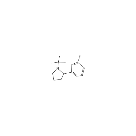 CC(C)(C)N1CCCC1c1cccc(F)c1